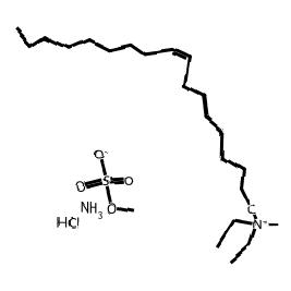 CCCCCCCC/C=C\CCCCCCCC[N+](C)(CC)CC.COS(=O)(=O)[O-].Cl.N